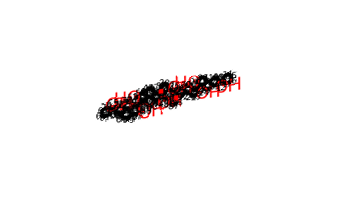 Oc1ccc2c(ccc3cc(C4(O)CCCCC4)ccc32)c1-c1c(O)ccc2c1ccc1cc(C3(O)c4ccccc4C(O)(c4cc5ccc6cc(O)c(-c7c(O)cc8ccc9cc(C%10(O)CCCCC%10)cc%10ccc7c8c9%10)c7ccc(c4)c5c67)c4ccccc43)ccc12